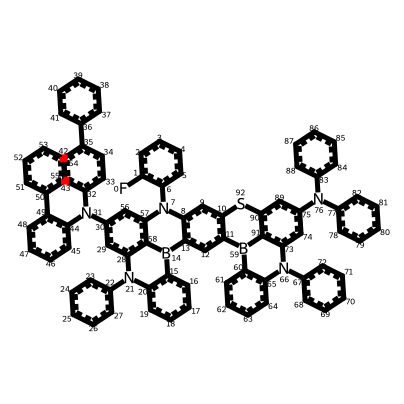 Fc1ccccc1N1c2cc3c(cc2B2c4ccccc4N(c4ccccc4)c4cc(N(c5ccc(-c6ccccc6)cc5)c5ccccc5-c5ccccc5)cc1c42)B1c2ccccc2N(c2ccccc2)c2cc(N(c4ccccc4)c4ccccc4)cc(c21)S3